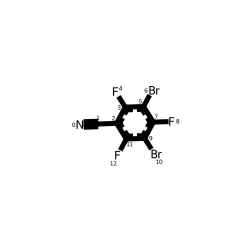 N#Cc1c(F)c(Br)c(F)c(Br)c1F